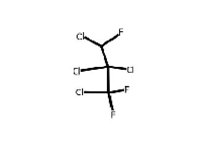 FC(Cl)C(Cl)(Cl)C(F)(F)Cl